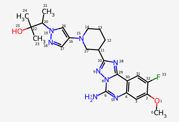 COc1cc2nc(N)n3nc(C4CCCN(c5cnn(C(C)C(C)(C)O)c5)C4)nc3c2cc1F